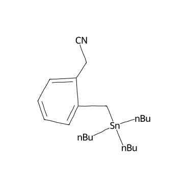 CCC[CH2][Sn]([CH2]CCC)([CH2]CCC)[CH2]c1ccccc1CC#N